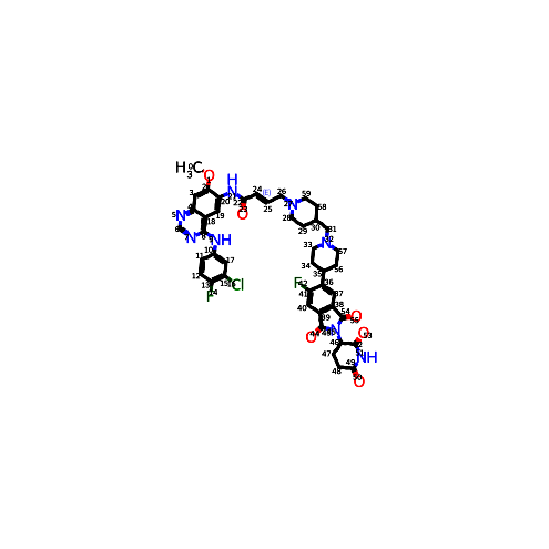 COc1cc2ncnc(Nc3ccc(F)c(Cl)c3)c2cc1NC(=O)/C=C/CN1CCC(CN2CCC(c3cc4c(cc3F)C(=O)N(C3CCC(=O)NC3=O)C4=O)CC2)CC1